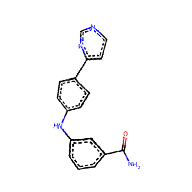 NC(=O)c1cccc(Nc2ccc(-c3ccncn3)cc2)c1